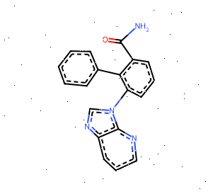 NC(=O)c1cccc(-n2cnc3cccnc32)c1-c1ccccc1